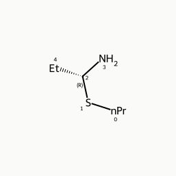 CCCS[C@@H](N)CC